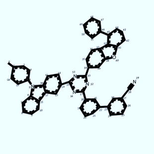 Cc1ccc(-n2c3ccccc3c3cc(-c4nc(-c5cccc(-c6cccc(C#N)c6)c5)nc(-c5ccc6c(c5)oc5cccc(-c7ccccc7)c56)n4)ccc32)cc1